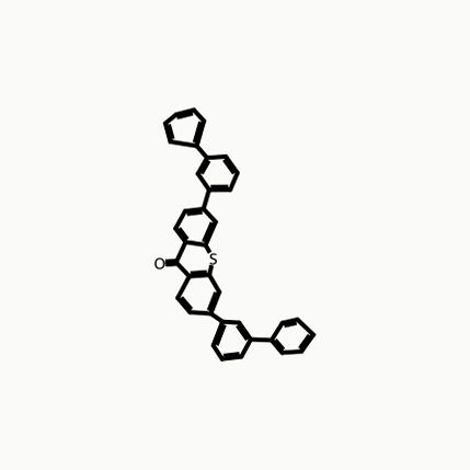 O=c1c2ccc(-c3cccc(-c4ccccc4)c3)cc2sc2cc(-c3cccc(-c4ccccc4)c3)ccc12